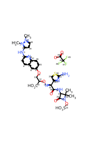 Cn1c(Nc2ccc3cc(OCC(ON=C(C(=O)NC4C(=O)N(OS(=O)(=O)O)C4(C)C)c4csc(N)n4)C(=O)O)ccc3n2)cc[n+]1C.O=C([O-])C(F)(F)F